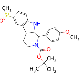 COc1ccc(C2C3Nc4ccc([S+](C)[O-])cc4C3CCN2C(=O)OC(C)(C)C)cc1